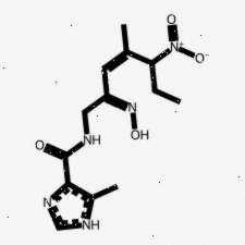 CCC(C(C)=CC(CNC(=O)c1nc[nH]c1C)=NO)[N+](=O)[O-]